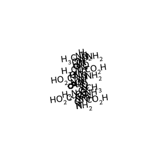 C[C@H](NC(=O)[C@H](Cc1c[nH]c2ccccc12)NC(=O)[C@H](CC(N)=O)NC(=O)[C@H](CCC(=O)O)NC(=O)[C@H](C)NC(=O)[C@H](CCC(=O)O)NC(=O)[C@H](CC(N)=O)NC(=O)[C@@H](N)[C@@H](C)O)C(=O)N[C@@H](CC(=O)O)C(=O)N[C@@H](CC(N)=O)C(=O)N[C@@H](CCC(=O)O)C(N)=O